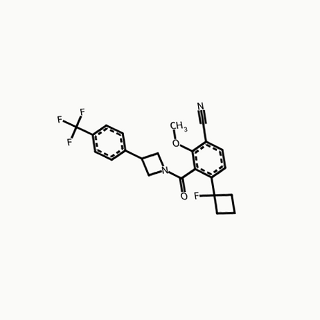 COc1c(C#N)ccc(C2(F)CCC2)c1C(=O)N1CC(c2ccc(C(F)(F)F)cc2)C1